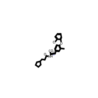 Cc1cc(/C=C(/NC(=O)CCC2CCCC2)C(=O)O)ccc1Oc1ccccc1Cl